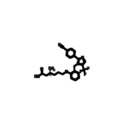 N#Cc1ccc(-c2ncc(C(F)(F)F)n2Cc2ccccc2OCCC[C@@H](N)CC(=O)O)cc1